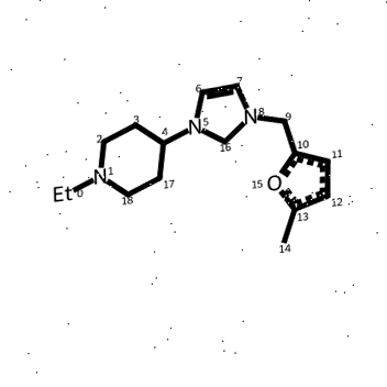 CCN1CCC(N2C=CN(Cc3ccc(C)o3)C2)CC1